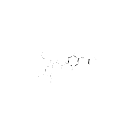 CCO[Si](CCc1ccc(OC(C)=O)cc1)(OCC)OCC